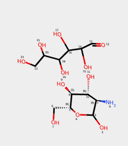 N[C@H]1C(O)O[C@H](CO)[C@@H](O)[C@@H]1O.O=CC(O)C(O)C(O)C(O)CO